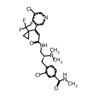 CNC(=O)c1ccc(C[C@@H](CNC(=O)/C=C(/c2cncc(Cl)c2)C2(C(F)(F)F)CC2)N(C)C)c(Cl)c1